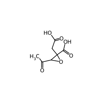 CC(=O)C1OC1(CC(=O)O)C(=O)O